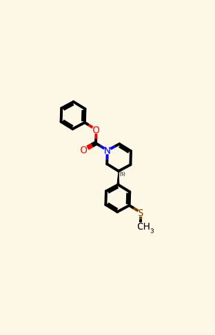 CSc1cccc([C@@H]2CC=CN(C(=O)Oc3ccccc3)C2)c1